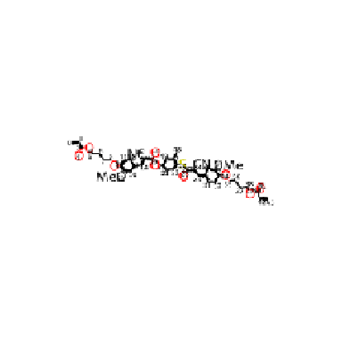 C=CC(=O)OCCCCOc1ccc(/C=C(\C#N)C(=O)Oc2ccc(SC(=O)/C(C#N)=C/c3ccc(OCCCCOC(=O)C=C)c(OC)c3)c(C)c2)cc1OC